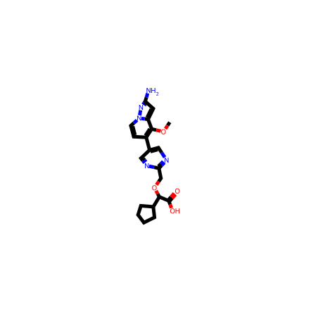 COc1c(-c2cnc(COC(C(=O)O)C3CCCC3)nc2)ccn2nc(N)cc12